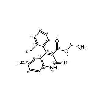 CCOC(=O)c1c(-c2ccccc2F)c2cc(Cl)ccc2[nH]c1=O